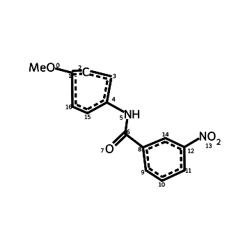 COc1ccc(NC(=O)c2cccc([N+](=O)[O-])c2)cc1